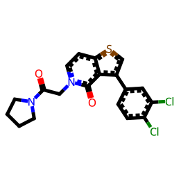 O=C(Cn1ccc2scc(-c3ccc(Cl)c(Cl)c3)c2c1=O)N1CCCC1